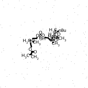 C=C(C)C(=O)OCC[N+](C)(C)CCOP(=O)(O)OCCC[Si](C)(C)O[Si](C)(C)O[Si](C)(C)CCCC